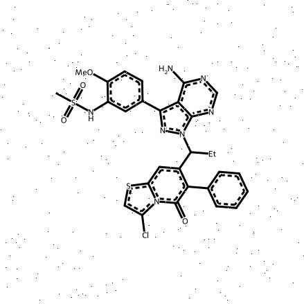 CCC(c1cc2scc(Cl)n2c(=O)c1-c1ccccc1)n1nc(-c2ccc(OC)c(NS(C)(=O)=O)c2)c2c(N)ncnc21